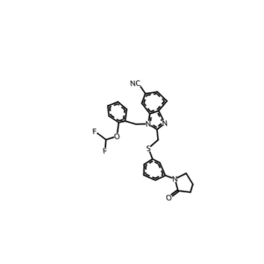 N#Cc1ccc2nc(CSc3cccc(N4CCCC4=O)c3)n(Cc3ccccc3OC(F)F)c2c1